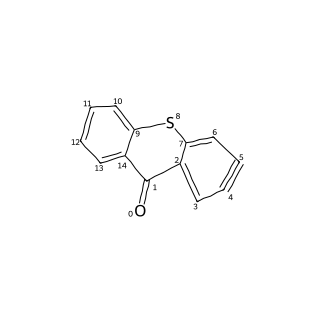 O=c1c2cc#ccc2sc2ccccc12